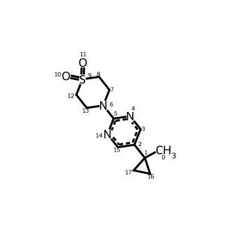 CC1(c2cnc(N3CCS(=O)(=O)CC3)nc2)CC1